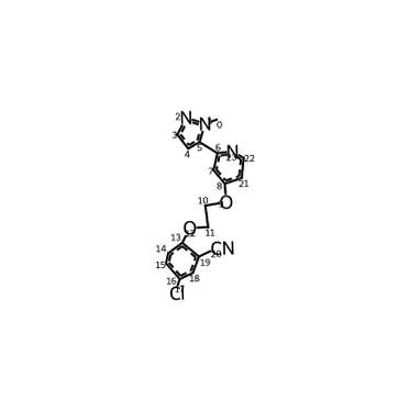 Cn1nccc1-c1cc(OCCOc2ccc(Cl)cc2C#N)ccn1